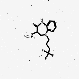 Cl.NC1CN(CCCC(F)(F)F)c2ccccc2NC1=O